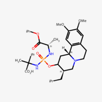 COc1cc2c(cc1OC)[C@H]1CC(OP(=O)(N[C@@H](C)C(=O)OC(C)C)NC(C)(C(=O)O)C(C)C)[C@H](CC(C)C)CN1CC2